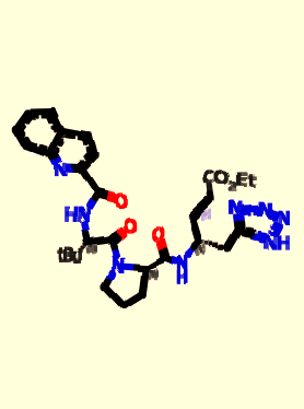 CCOC(=O)/C=C/[C@H](Cc1nnn[nH]1)NC(=O)[C@H]1CCCN1C(=O)[C@@H](NC(=O)c1ccc2ccccc2n1)C(C)(C)C